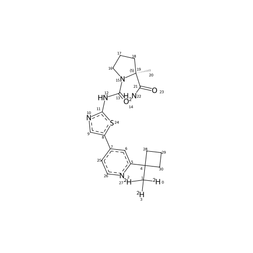 [2H]C([2H])([2H])C1(c2cc(-c3cnc(NC(=O)N4CCC[C@@]4(C)C(N)=O)s3)ccn2)CCC1